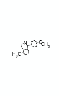 COc1ccc(C2=NCCc3c(C)cccc32)cc1